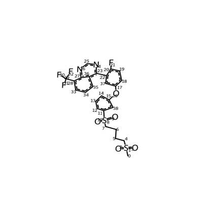 CS(=O)(=O)CCCCS(=O)(=O)c1cccc(Oc2ccc(F)c(-c3ncnc4c(C(F)(F)F)cccc34)c2)c1